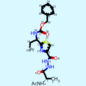 CC(=O)N[C@@H](C)C(=O)NNC(=O)c1csc(C(CC(C)C)NC(=O)OCc2ccccc2)n1